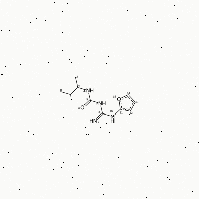 CCC(C)NC(=O)NC(=N)Nc1ccco1